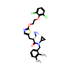 Cc1cccc(CN(C(=O)[C@@H](CN)Cc2cnc(OCCOc3c(Cl)cccc3Cl)s2)C2CC2)c1C